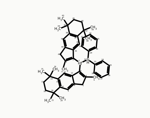 CC1=[C]([Hf]([C]2=C(C)Cc3cc4c(cc32)C(C)(C)CCC4(C)C)[SiH](c2ccccc2)c2ccccc2)c2cc3c(cc2C1)C(C)(C)CCC3(C)C